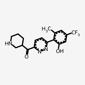 Cc1cc(C(F)(F)F)cc(O)c1-c1ccc(C(=O)C2CCCNC2)nn1